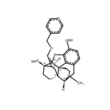 COc1ccc2c3c1O[C@H]1[C@@]4(OC)CC[C@@]5(C[C@@H]4COCc4ccncc4)[C@@H](C2)N(C)CC[C@]315